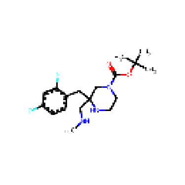 CNCC1(Cc2ccc(F)cc2F)CN(C(=O)OC(C)(C)C)CCN1